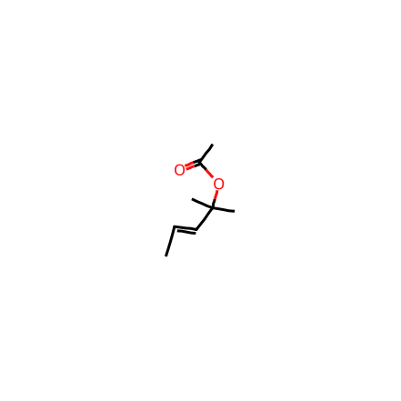 CC=CC(C)(C)OC(C)=O